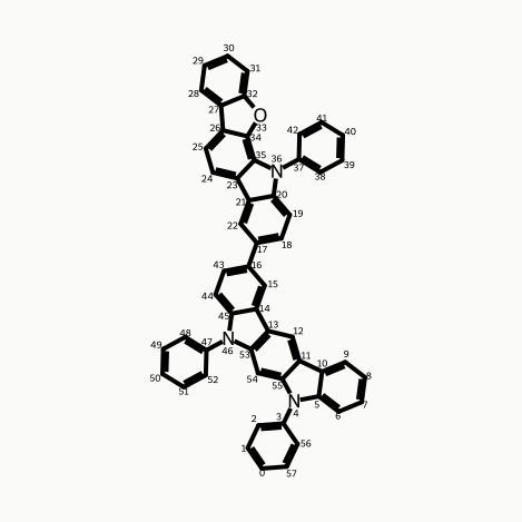 c1ccc(-n2c3ccccc3c3cc4c5cc(-c6ccc7c(c6)c6ccc8c9ccccc9oc8c6n7-c6ccccc6)ccc5n(-c5ccccc5)c4cc32)cc1